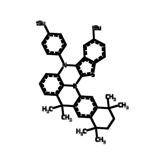 CC(C)(C)c1ccc(N2c3cccc4c3B(c3cc5c(cc3C4(C)C)C(C)(C)CCC5(C)C)c3sc4ccc(C(C)(C)C)cc4c32)cc1